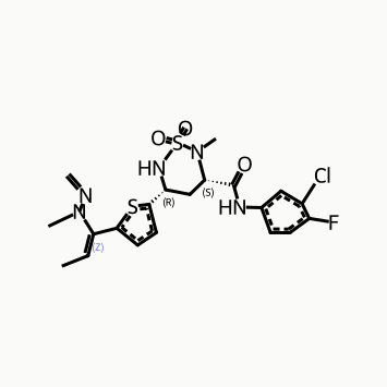 C=NN(C)/C(=C\C)c1ccc([C@H]2C[C@@H](C(=O)Nc3ccc(F)c(Cl)c3)N(C)S(=O)(=O)N2)s1